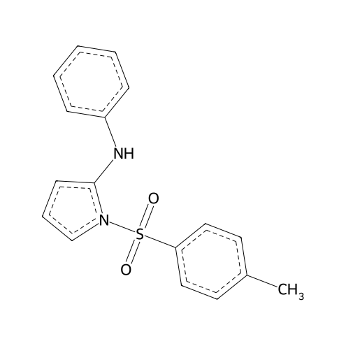 Cc1ccc(S(=O)(=O)n2cccc2Nc2ccccc2)cc1